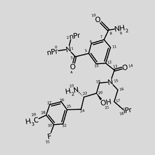 CCCN(CCC)C(=O)c1cc(C(N)=O)cc(C(=O)N(CCC(C)C)C[C@@H](O)[C@@H](N)Cc2ccc(C)c(F)c2)c1